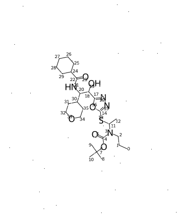 CCCN(C(=O)OC(C)(C)C)C(C)Sc1nnc(C(O)C(NC(=O)C2CCCCC2)C2CCOCC2)o1